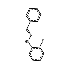 Fc1ccccc1NN=Cc1ccccc1